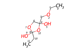 CCOCC1(O)COC(O)(CC)O1